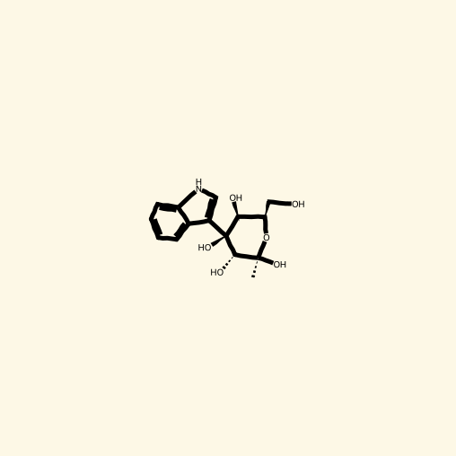 C[C@@]1(O)O[C@H](CO)[C@H](O)[C@@](O)(c2c[nH]c3ccccc23)[C@H]1O